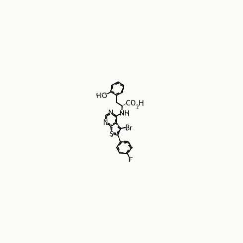 O=C(O)[C@@H](Cc1ccccc1O)Nc1ncnc2sc(-c3ccc(F)cc3)c(Br)c12